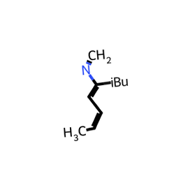 C=N/C(=C/C=C\C)C(C)CC